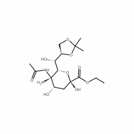 CCOC(=O)[C@]1(O)C[C@H](O)[C@](N)(NC(C)=O)[C@H]([C@H](O)[C@H]2COC(C)(C)O2)O1